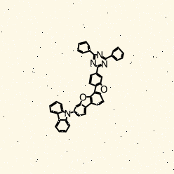 c1ccc(-c2nc(-c3ccccc3)nc(-c3ccc4c(c3)oc3ccc5c6ccc(-n7c8ccccc8c8ccccc87)cc6oc5c34)n2)cc1